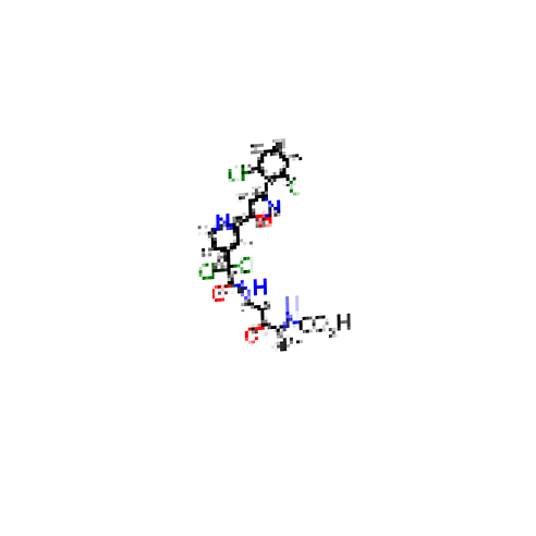 CC(C)C(NC(=O)O)C(=O)CCNC(=O)C(Cl)(Cl)c1ccnc(-c2cc(-c3c(Cl)cccc3Cl)no2)c1